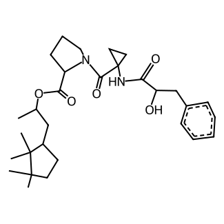 CC(CC1CCC(C)(C)C1(C)C)OC(=O)C1CCCN1C(=O)C1(NC(=O)C(O)Cc2ccccc2)CC1